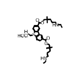 CCNCCCC(C)(C)COC(=O)c1ccc2c(c1)c1cc(C(=O)OCC(C)(C)CCCNCC)ccc1n2CC.Cl.Cl